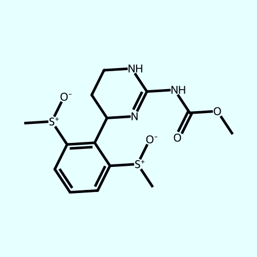 COC(=O)NC1=NC(c2c([S+](C)[O-])cccc2[S+](C)[O-])CCN1